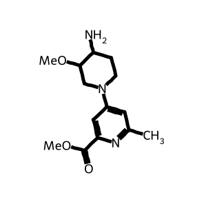 COC(=O)c1cc(N2CCC(N)C(OC)C2)cc(C)n1